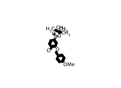 COc1ccc(COc2cc(B3OC(C)(C)C(C)(C)O3)ccc2Cl)cc1